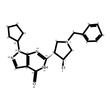 CC[C@@H]1CN(Cc2ccccc2)C[C@H]1c1nc2c(cnn2C2CCCC2)c(=O)[nH]1